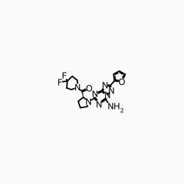 Nc1nc(N2CCC[C@H]2C(=O)N2CCC(F)(F)CC2)nc2nc(-c3ccco3)nn12